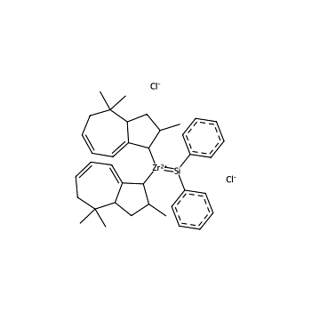 CC1CC2C(=CC=CCC2(C)C)[CH]1[Zr+2]([CH]1C2=CC=CCC(C)(C)C2CC1C)=[Si](c1ccccc1)c1ccccc1.[Cl-].[Cl-]